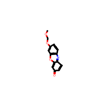 COCOc1ccc2nc3ccc(=O)cc-3oc2c1